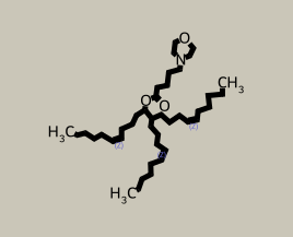 CCCCC/C=C\CCCC(CCC/C=C\CCCCC)C(CCC/C=C\CCCCC)OC(=O)CCCCN1CCOCC1